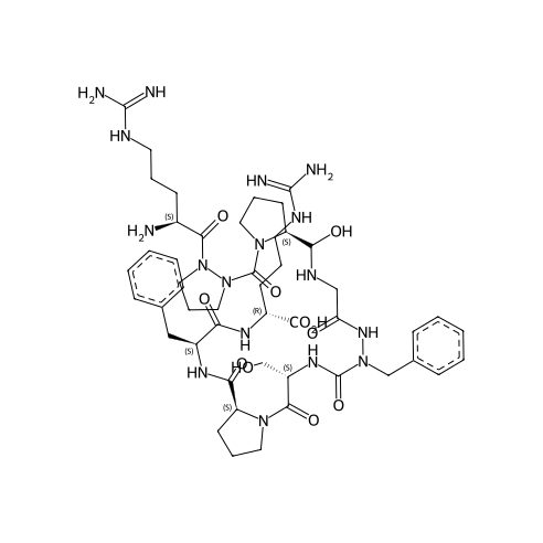 N=C(N)NCCC[C@H](N)C(=O)N1CCCN1C(=O)N1CCC[C@H]1C(O)NCC(=O)NN(Cc1ccccc1)C(=O)N[C@@H](CO)C(=O)N1CCC[C@H]1C(=O)N[C@@H](Cc1ccccc1)C(=O)N[C@H](CCCNC(=N)N)C(=O)O